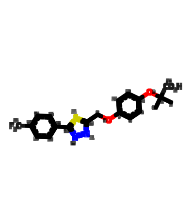 CC(C)(Oc1ccc(OCc2nnc(-c3ccc(C(F)(F)F)cc3)s2)cc1)C(=O)O